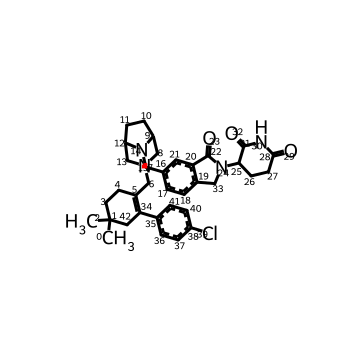 CC1(C)CCC(CN2CC3CCC(C2)N3Cc2ccc3c(c2)C(=O)N(C2CCC(=O)NC2=O)C3)=C(c2ccc(Cl)cc2)C1